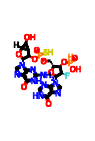 Nc1nc2c(ncn2[C@@H]2O[C@@H]3C(O)C3[C@H]2OP(=O)(S)OC[C@H]2O[C@@H](n3cnc4c(=O)[nH]cnc43)[C@@H](F)[C@@H]2O[PH](=O)O)c(=O)[nH]1